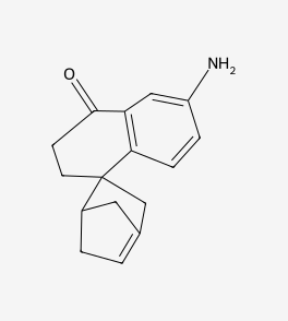 Nc1ccc2c(c1)C(=O)CCC21CC2=CCC1C2